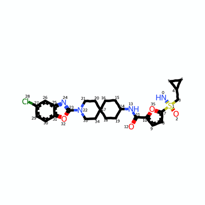 N=S(=O)(CC1CC1)c1ccc(C(=O)NC2CCC3(CC2)CCN(c2nc4cc(Cl)ccc4o2)CC3)o1